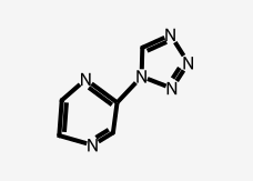 c1cnc(-n2cnnn2)cn1